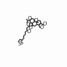 CC(C)C12OC1C1OC13C1(C)CCC4=C(COC4=O)C1CC1OC13C2OC(=O)CC(=O)CCCCC1CCSS1